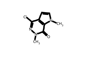 Cn1nc(Cl)c2ccn(C)c2c1=O